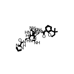 CC1(C)CCOc2c(C(=O)N[C@H]3CN4C(=N)N[C@@H](CNC(=O)c5ncccn5)[C@@H]5NC(=N)NC54C3(O)O)cccc21